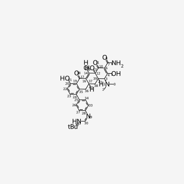 CN(C)[C@@H]1C(O)=C(C(N)=O)C(=O)[C@@]2(O)C(O)=C3C(=O)c4c(O)ccc(-c5ccc(/N=C\NC(C)(C)C)cc5)c4C[C@H]3C[C@@H]12